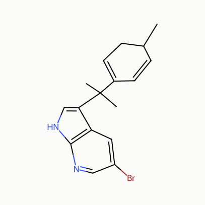 CC1C=CC(C(C)(C)c2c[nH]c3ncc(Br)cc23)=CC1